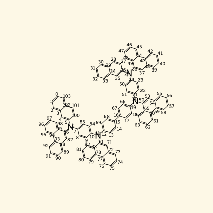 c1ccc2cc(N(c3ccc(N(c4ccc(-c5ccc(N(c6ccc(N(c7ccc8ccccc8c7)c7cc8ccccc8c8ccccc78)cc6)c6cc7ccccc7c7ccccc67)cc5)cc4)c4cc5ccccc5c5ccccc45)cc3)c3cc4ccccc4c4ccccc34)ccc2c1